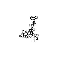 COC(=O)[C@H]1CC(Oc2ccc(COC(=O)N3CCCC3O)cc2NC(=O)CCNC(=O)OCC2c3ccccc3-c3ccccc32)[C@H](OC(C)=O)[C@@H](OC(C)=O)[C@@H]1OC(C)=O